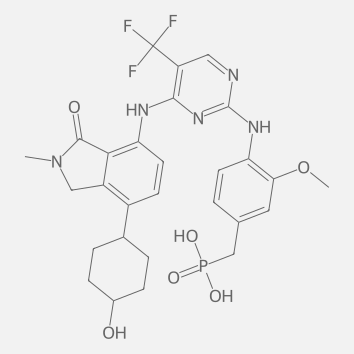 COc1cc(CP(=O)(O)O)ccc1Nc1ncc(C(F)(F)F)c(Nc2ccc(C3CCC(O)CC3)c3c2C(=O)N(C)C3)n1